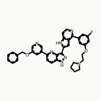 Fc1cc(OCCN2CCCC2)cc(-c2nccc3[nH]c(-c4n[nH]c5ccc(-c6cncc(OCc7ccccc7)c6)nc45)cc23)c1